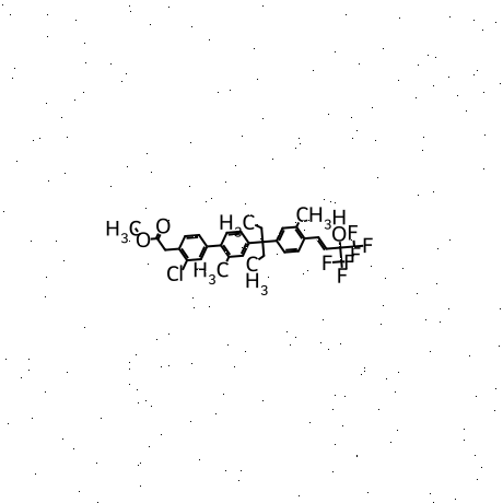 CCC(CC)(c1ccc(/C=C/C(O)(C(F)(F)F)C(F)(F)F)c(C)c1)c1ccc(-c2ccc(CC(=O)OC)c(Cl)c2)c(C)c1